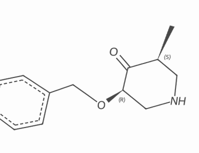 C[C@H]1CNC[C@@H](OCc2ccccc2)C1=O